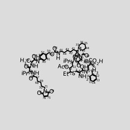 CCC(S/C=C(\N)C(=O)N[C@@H](Cc1ccccc1)C[C@H](C)C(=O)O)[C@@H](C[C@H](C(C)C)N(C)C(=O)C(NC(=O)[C@H]1CCCCN1C(=O)CCCCCNC(=O)OCc1ccc(NC(=O)[C@H](C)NC(=O)[C@@H](NC(=O)CCCCCN2C(=O)C=CC2=O)C(C)C)cc1)[C@@H](C)CC)OC(C)=O